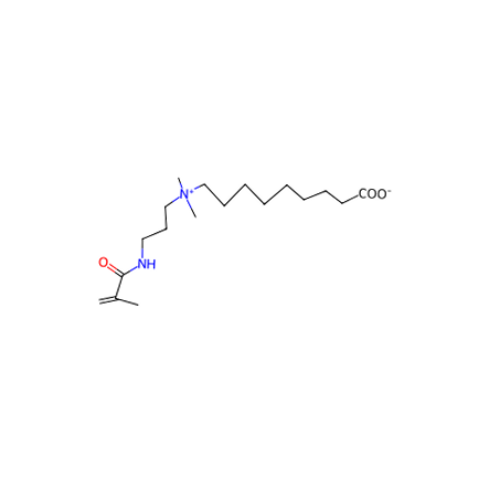 C=C(C)C(=O)NCCC[N+](C)(C)CCCCCCCCC(=O)[O-]